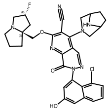 N#Cc1c(OC[C@@]23CCCN2C[C@H](F)C3)nc2c(=O)n(-c3cc(O)cc4cccc(Cl)c34)ncc2c1N1CC2CCC(C1)N2